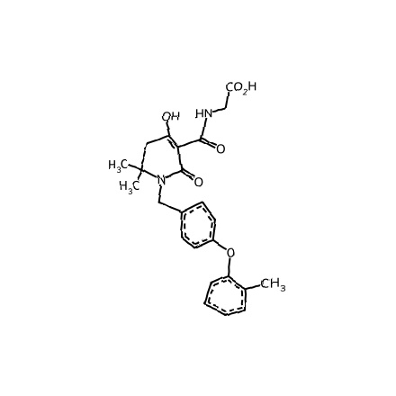 Cc1ccccc1Oc1ccc(CN2C(=O)C(C(=O)NCC(=O)O)=C(O)CC2(C)C)cc1